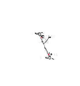 NC(=O)[C@@H](N)CCCCNCO[C@H](CCCCN=COCCCCC1(N(CC=O)CC(=O)O)CN(CC=O)CCN(CC(=O)O)C1)NCOCCCCC1(N(CC=O)CC(=O)O)CN(CC=O)CCN(CC(=O)O)C1